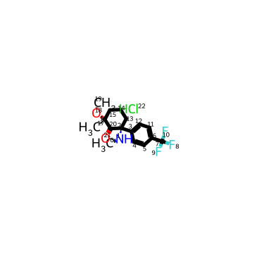 CN[C@@]1(c2ccc(C(F)(F)F)cc2)CCC[C@](C)(OC)C1=O.Cl